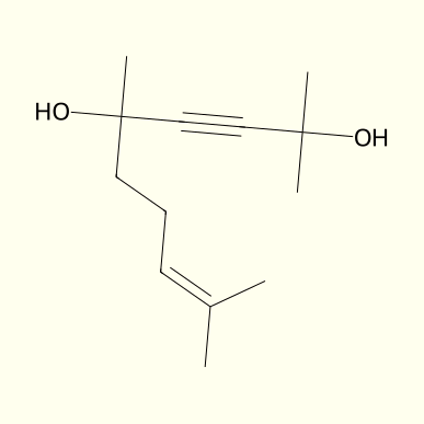 CC(C)=CCCC(C)(O)C#CC(C)(C)O